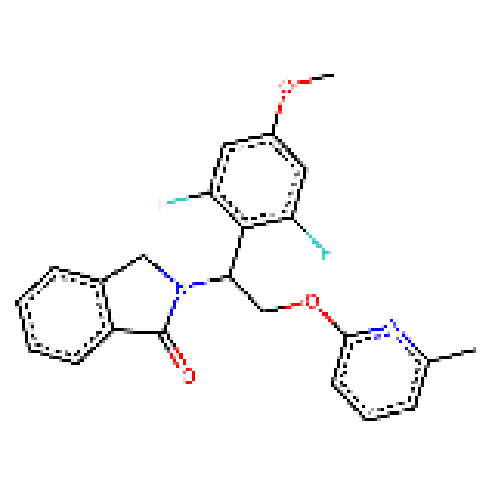 COc1cc(F)c(C(COc2cccc(C)n2)N2Cc3ccccc3C2=O)c(F)c1